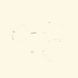 CC(C)COc1cccc(C(N)=O)c1-c1ccoc1